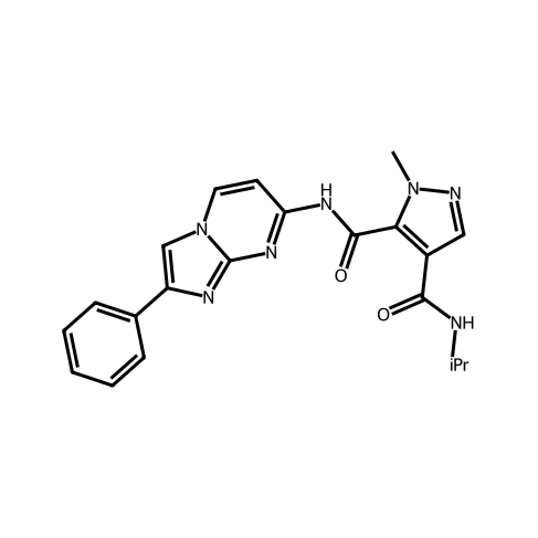 CC(C)NC(=O)c1cnn(C)c1C(=O)Nc1ccn2cc(-c3ccccc3)nc2n1